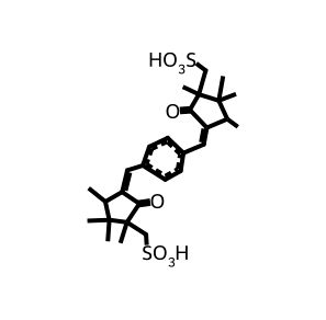 CC1/C(=C/c2ccc(/C=C3\C(=O)C(C)(CS(=O)(=O)O)C(C)(C)C3C)cc2)C(=O)C(C)(CS(=O)(=O)O)C1(C)C